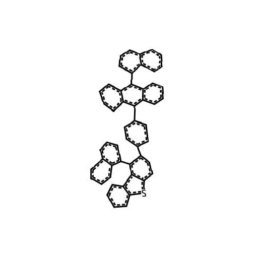 c1ccc2c(-c3c4ccccc4c(-c4ccc(-c5ccc6sc7ccccc7c6c5-c5cccc6ccccc56)cc4)c4ccccc34)cccc2c1